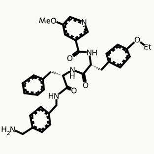 CCOc1ccc(C[C@@H](NC(=O)c2cncc(OC)c2)C(=O)N[C@@H](Cc2ccccc2)C(=O)NCc2ccc(CN)cc2)cc1